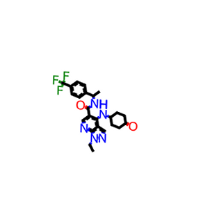 CCn1ncc2c(NC3CCC(=O)CC3)c(C(=O)NC(C)c3ccc(C(F)(F)F)cc3)cnc21